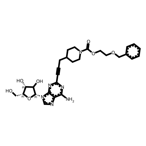 Nc1nc(C#CCC2CCN(C(=O)OCCOCc3ccccc3)CC2)nc2c1ncn2[C@@H]1O[C@H](CO)[C@H](O)C1O